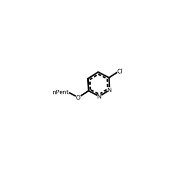 CCCCCOc1ccc(Cl)nn1